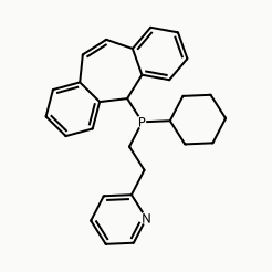 C1=Cc2ccccc2C(P(CCc2ccccn2)C2CCCCC2)c2ccccc21